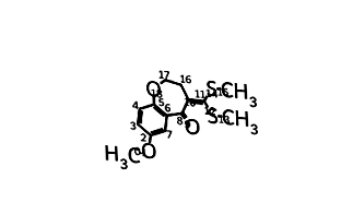 COc1ccc2c(c1)C(=O)C(=C(SC)SC)CCO2